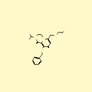 CC(C)N1CCn2c(CNCCN)cc(=O)c(OCc3ccccc3)c2C1=O